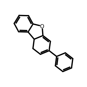 C1=C(c2ccccc2)C=C2Oc3ccccc3C2C1